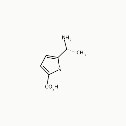 C[C@@H](N)c1ccc(C(=O)O)s1